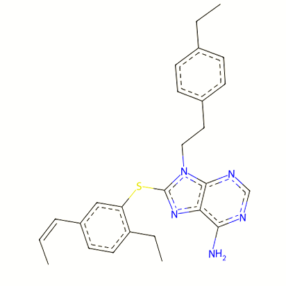 C/C=C\c1ccc(CC)c(Sc2nc3c(N)ncnc3n2CCc2ccc(CC)cc2)c1